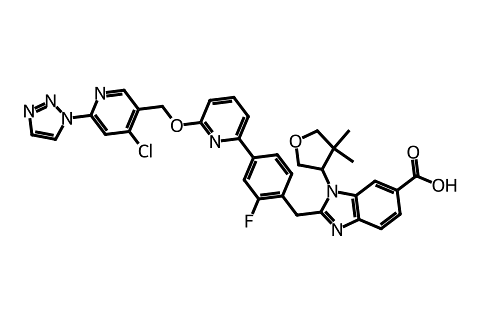 CC1(C)COCC1n1c(Cc2ccc(-c3cccc(OCc4cnc(-n5ccnn5)cc4Cl)n3)cc2F)nc2ccc(C(=O)O)cc21